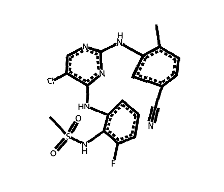 Cc1ccc(C#N)cc1Nc1ncc(Cl)c(Nc2cccc(F)c2NS(C)(=O)=O)n1